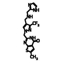 Cc1cc2c(=O)[nH]c(Cn3cc(CNCc4ncc[nH]4)c(C(F)(F)F)n3)nc2s1